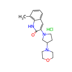 Cc1cccc2cc(N3CCC(N4CCOCC4)C3)c(=O)[nH]c12.Cl